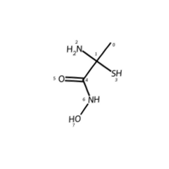 CC(N)(S)C(=O)NO